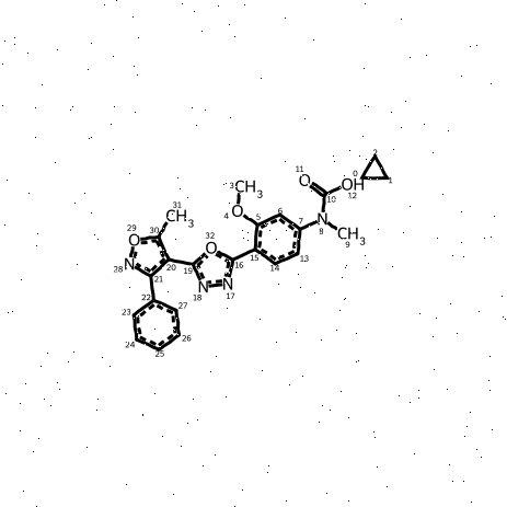 C1CC1.COc1cc(N(C)C(=O)O)ccc1-c1nnc(-c2c(-c3ccccc3)noc2C)o1